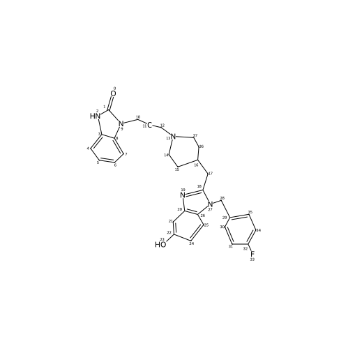 O=c1[nH]c2ccccc2n1CCCN1CCC(Cc2nc3cc(O)ccc3n2Cc2ccc(F)cc2)CC1